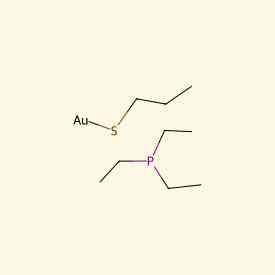 CCC[S][Au].CCP(CC)CC